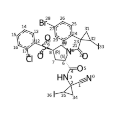 N#CC1(NC(=O)[C@@H]2C[C@@H](S(=O)(=O)c3ccccc3Cl)CN2C(=O)C2(c3ccc(Br)cc3)CC2I)CC1I